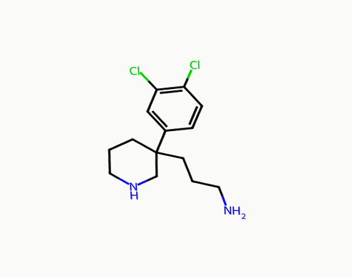 NCCCC1(c2ccc(Cl)c(Cl)c2)CCCNC1